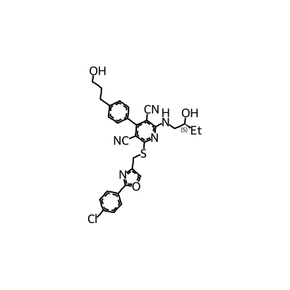 CC[C@H](O)CNc1nc(SCc2coc(-c3ccc(Cl)cc3)n2)c(C#N)c(-c2ccc(CCCO)cc2)c1C#N